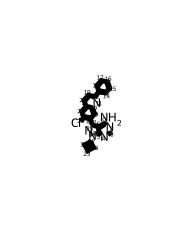 Nc1ncnc2c1c(-c1cc3nc(-c4ccccc4)ccc3cc1Cl)nn2C1=CC=C1